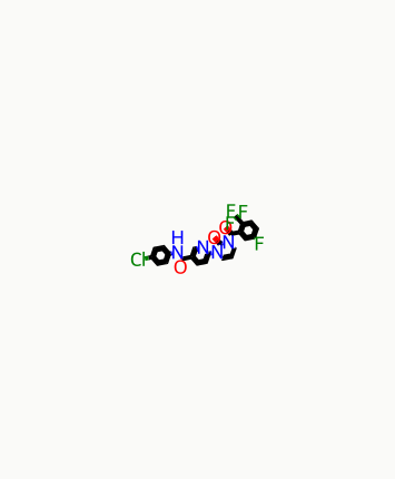 O=C(Nc1ccc(Cl)cc1)c1ccc(N2C=CCN(C(=O)c3cc(F)ccc3C(F)(F)F)C2=O)nc1